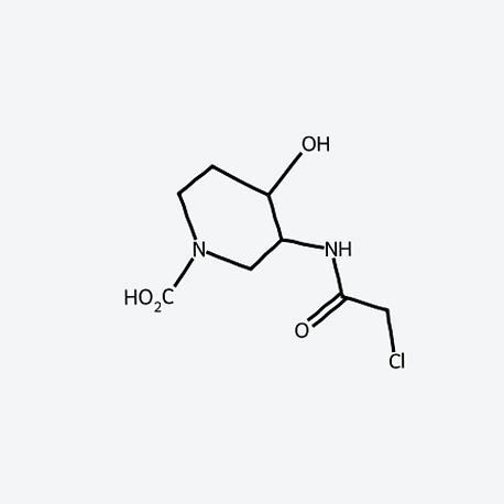 O=C(CCl)NC1CN(C(=O)O)CCC1O